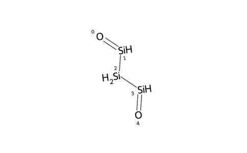 O=[SiH][SiH2][SiH]=O